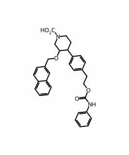 O=C(Nc1ccccc1)OCCc1ccc(C2CCN(C(=O)O)CC2OCc2ccc3ccccc3c2)cc1